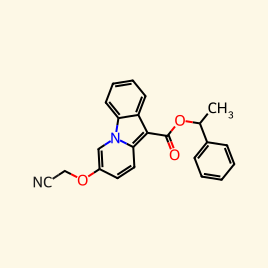 CC(OC(=O)c1c2ccccc2n2cc(OCC#N)ccc12)c1ccccc1